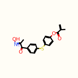 C=C(C)C(=O)Oc1ccc(Sc2ccc(C(=O)/C(C)=N/O)cc2)cc1